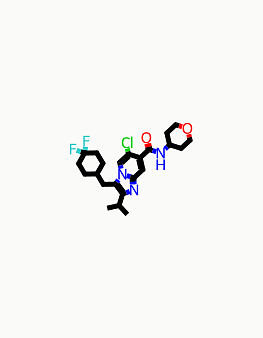 CC(C)c1nc2cc(C(=O)NC3CCOCC3)c(Cl)cn2c1CC1CCC(F)(F)CC1